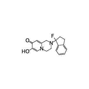 O=c1cc2n(cc1O)CCN(C1(F)CCc3ccccc31)C2